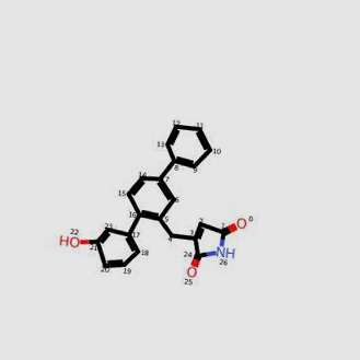 O=C1C=C(Cc2cc(-c3ccccc3)ccc2-c2cccc(O)c2)C(=O)N1